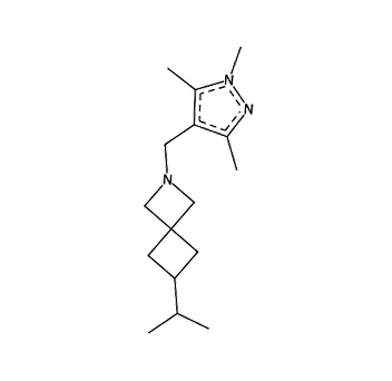 Cc1nn(C)c(C)c1CN1CC2(CC(C(C)C)C2)C1